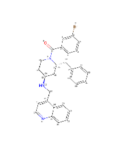 O=C(c1cccc(Br)c1)N1CC[C@H](NCc2ccnc3ccccc23)C[C@H]1Cc1ccccc1